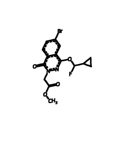 COC(=O)Cn1nc(OC(F)C2CC2)c2cc(Br)ccc2c1=O